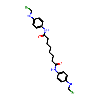 O=C(CCCCCCC(=O)Nc1ccc(NCBr)cc1)Nc1ccc(NCBr)cc1